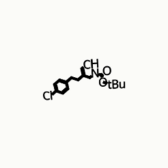 CC(C)(C)OC(=O)NCC(=CCl)CCc1ccc(Cl)cc1